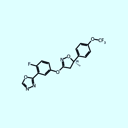 C[C@]1(c2ccc(OC(F)(F)F)cc2)CC(Oc2ccc(F)c(-c3nnco3)c2)=NO1